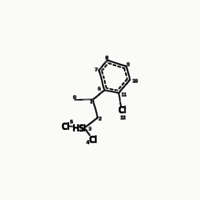 CC(C[SiH](Cl)Cl)c1ccccc1Cl